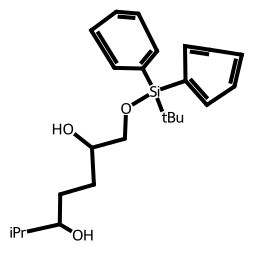 CC(C)C(O)CCC(O)CO[Si](c1ccccc1)(c1ccccc1)C(C)(C)C